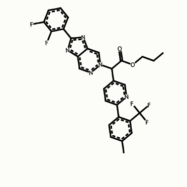 CCCOC(=O)C(c1ccc(-c2ccc(C)cc2C(F)(F)F)nc1)n1cc2nc(-c3cccc(F)c3F)nc-2cn1